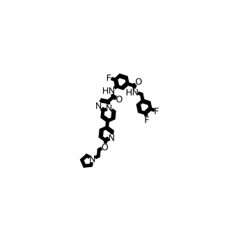 O=C(NCc1ccc(F)c(F)c1)c1ccc(F)c(NC(=O)c2cnc3cc(-c4ccc(OCCN5CCCC5)nc4)ccn23)c1